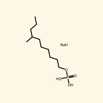 CCCC(C)CCCCCCOP(=O)(O)O.[NaH]